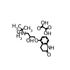 CC(C)(C)NCC(O)COc1cccc2c1CCC(=O)N2.O=C(O)C(=O)O